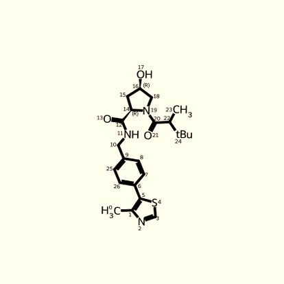 Cc1ncsc1-c1ccc(CNC(=O)[C@H]2C[C@@H](O)CN2C(=O)C(C)C(C)(C)C)cc1